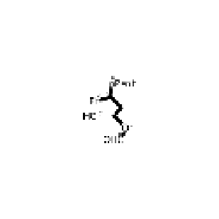 CCCCCC(CC)CCOC=O.Cl